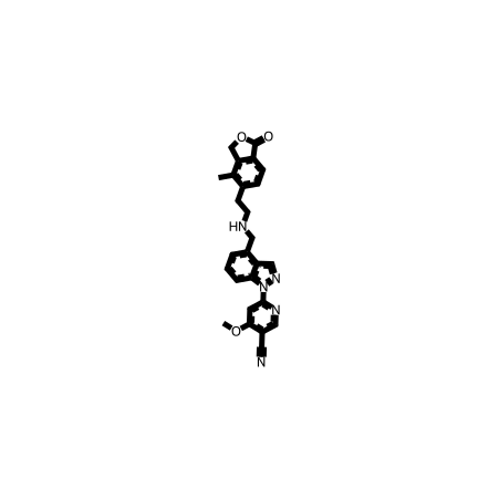 COc1cc(-n2ncc3c(CNCCc4ccc5c(c4C)COC5=O)cccc32)ncc1C#N